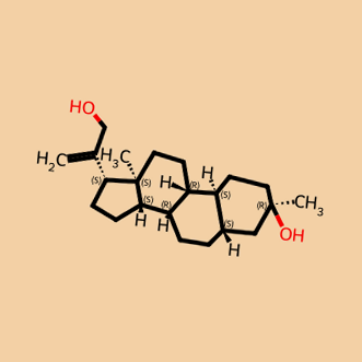 C=C(CO)[C@H]1CC[C@H]2[C@@H]3CC[C@H]4C[C@](C)(O)CC[C@@H]4[C@H]3CC[C@]12C